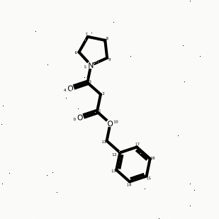 O=C(CC(=O)N1CCCC1)OCc1ccccc1